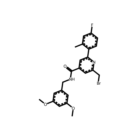 COc1cc(CNC(=O)c2cc(CBr)nc(-c3ccc(F)cc3C)c2)cc(OC)c1